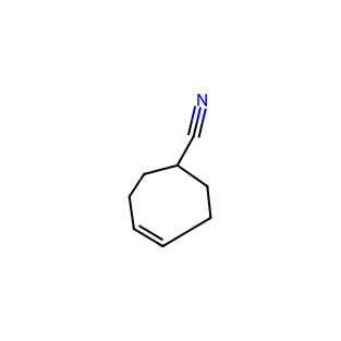 N#CC1CCC=CCC1